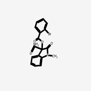 CN1C(=O)C(OC(=O)c2ccccc2Br)(C(N)=O)c2ccccc21